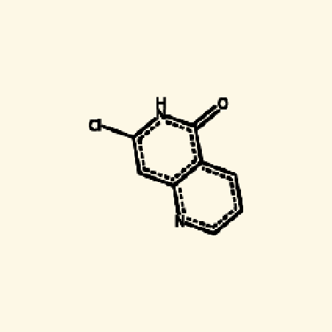 O=c1[nH]c(Cl)cc2ncccc12